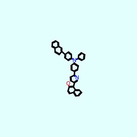 c1ccc(N(c2ccc(-c3ccc4ccccc4c3)cc2)c2ccc(-c3cc4oc5ccc6ccccc6c5c4cn3)cc2)cc1